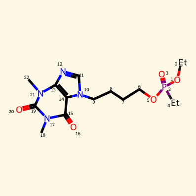 CCOP(=O)(CC)OCCCCn1cnc2c1c(=O)n(C)c(=O)n2C